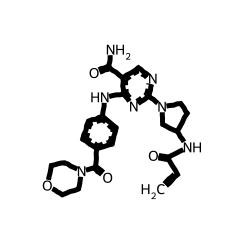 C=CC(=O)NC1CCN(c2ncc(C(N)=O)c(Nc3ccc(C(=O)N4CCOCC4)cc3)n2)C1